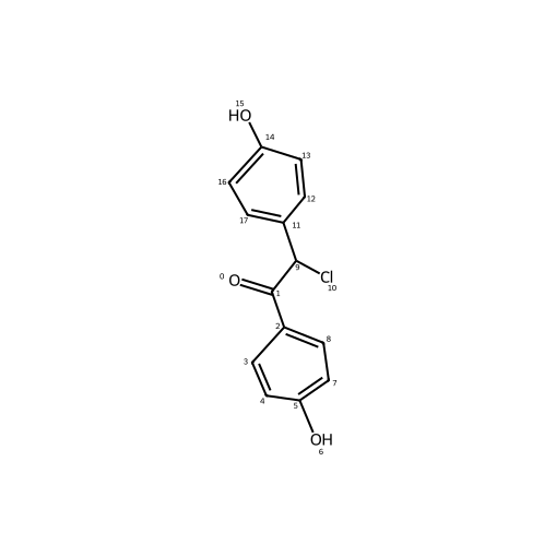 O=C(c1ccc(O)cc1)C(Cl)c1ccc(O)cc1